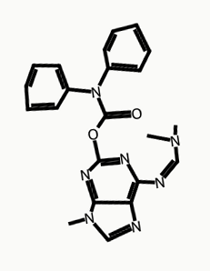 CN(C)/C=N\c1nc(OC(=O)N(c2ccccc2)c2ccccc2)nc2c1ncn2C